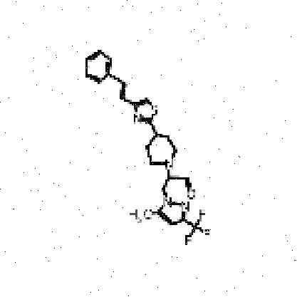 Cc1cc(C(F)(F)F)nn1CC(C=O)N1CCC(c2nc(C=Cc3ccccc3)cs2)CC1